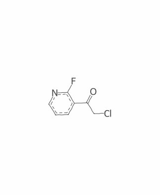 O=C(CCl)c1cccnc1F